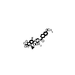 COc1ccc2c(c1)CCC(C(=O)N1CCN(c3c(F)cc4c(=O)c(C(=O)O)cn(C5CC5)c4c3OC)CC1)C2